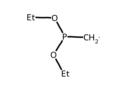 [CH2]P(OCC)OCC